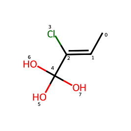 CC=C(Cl)C(O)(O)O